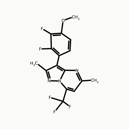 COc1ccc(-c2c(C)nn3c(C(F)(F)F)cc(C)nc23)c(F)c1F